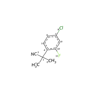 CC(C)(C#N)c1ccc(Cl)cc1F